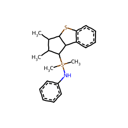 CC1C(C)C(S(C)(C)Nc2ccccc2)C2c3ccccc3SC12